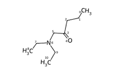 CCCC(=O)CN(CC)CC